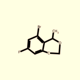 CC1OCCc2cc(F)cc(Br)c21